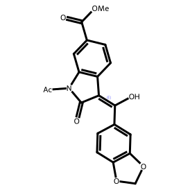 COC(=O)c1ccc2c(c1)N(C(C)=O)C(=O)/C2=C(/O)c1ccc2c(c1)OCO2